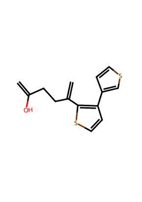 C=C(O)CCC(=C)c1sccc1-c1ccsc1